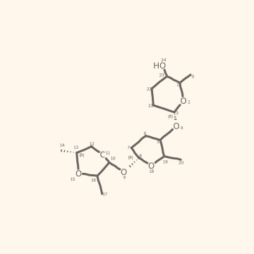 CC1O[C@H](OC2CC[C@@H](OC3CC[C@@H](C)OC3C)OC2C)CCC1O